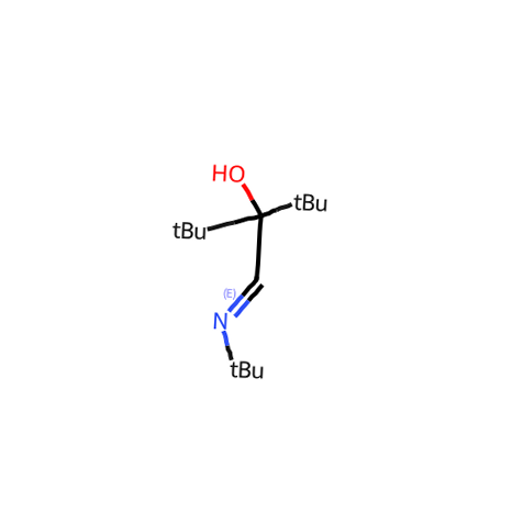 CC(C)(C)/N=C/C(O)(C(C)(C)C)C(C)(C)C